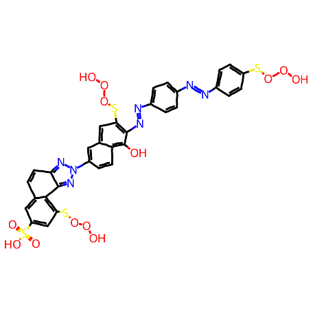 O=S(=O)(O)c1cc(SOOO)c2c(ccc3nn(-c4ccc5c(O)c(N=Nc6ccc(N=Nc7ccc(SOOO)cc7)cc6)c(SOOO)cc5c4)nc32)c1